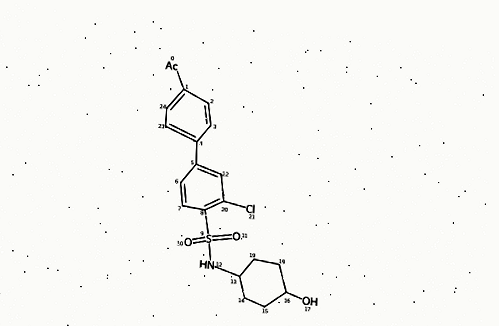 CC(=O)c1ccc(-c2ccc(S(=O)(=O)NC3CCC(O)CC3)c(Cl)c2)cc1